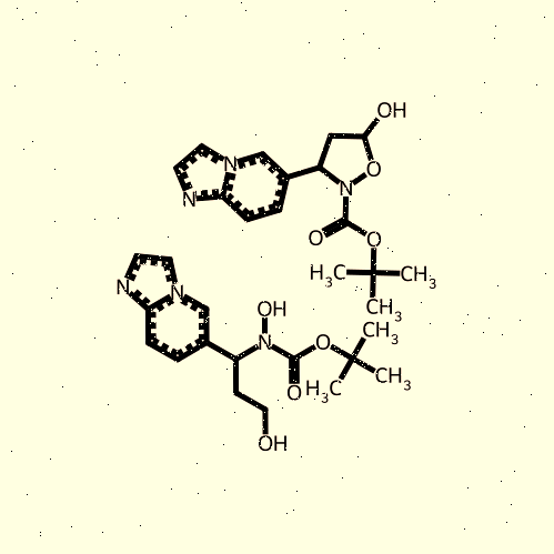 CC(C)(C)OC(=O)N(O)C(CCO)c1ccc2nccn2c1.CC(C)(C)OC(=O)N1OC(O)CC1c1ccc2nccn2c1